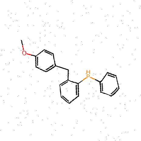 COc1ccc(Cc2ccccc2Pc2ccccc2)cc1